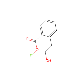 O=C(OF)c1ccccc1CCO